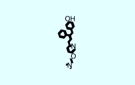 CN(C)CCOc1ccc(CC=C(Cc2ccc(O)cc2)c2ccccc2)nc1